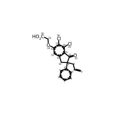 C=CCC1(c2ccccc2)Cc2cc(OCC(=O)O)c(Cl)c(Cl)c2C1=O